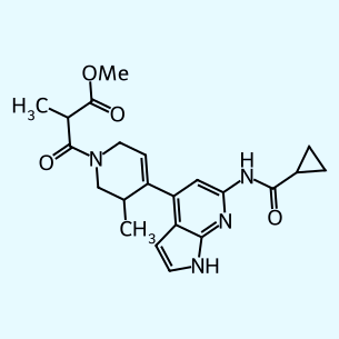 COC(=O)C(C)C(=O)N1CC=C(c2cc(NC(=O)C3CC3)nc3[nH]ccc23)C(C)C1